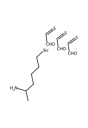 CC(N)CCC[CH2][Sn].O=CC=S.O=CC=S.O=CC=S